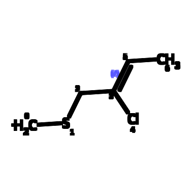 [CH2]SC/C(Cl)=C/C